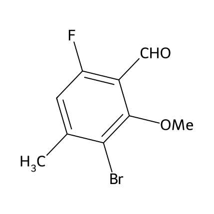 COc1c(Br)c(C)cc(F)c1C=O